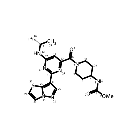 COC(=O)NC1CCN(C(=O)c2cc(N[C@@H](C)C(C)C)nc(-c3cnn4ccsc34)n2)CC1